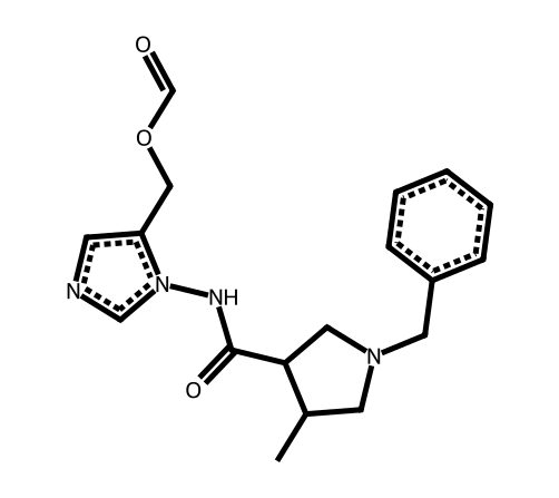 CC1CN(Cc2ccccc2)CC1C(=O)Nn1cncc1COC=O